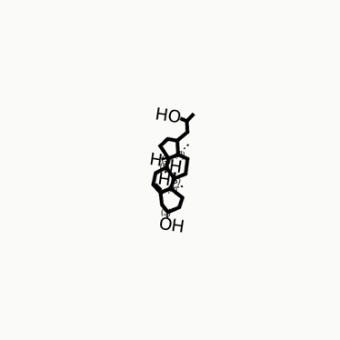 CC(O)CC1CC[C@H]2[C@@H]3CC=C4C[C@@H](O)CC[C@]4(C)[C@H]3CC[C@]12C